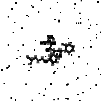 Cc1ccccc1-c1cc(C(=O)NC(=N)N)c2cc(OCCCC(C)C)ccc2n1